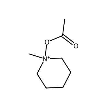 CC(=O)O[N+]1(C)CCCCC1